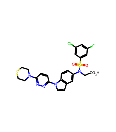 O=C(O)CN(c1ccc2c(ccn2-c2ccc(N3CCSCC3)nn2)c1)S(=O)(=O)c1cc(Cl)cc(Cl)c1